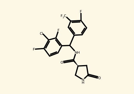 O=C1C[C@H](C(=O)NC(c2ccc(F)c(C(F)(F)F)c2)c2ccc(F)c(Cl)c2F)CN1